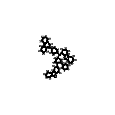 c1ccc(-c2cc(N(c3ccc(-c4cc5ccccc5c5ccccc45)cc3)c3cccc4c3sc3ccccc34)ccc2-c2ccc3oc4ccccc4c3c2)cc1